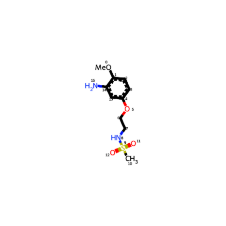 COc1ccc(OCCNS(C)(=O)=O)cc1N